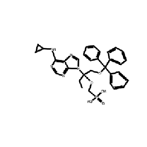 CCC(COC(c1ccccc1)(c1ccccc1)c1ccccc1)(OCP(=O)(O)O)n1cnc2c(NC3CC3)ncnc21